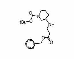 CC(C)(C)OC(=O)N1CCCC(NCCC(=O)OCc2ccccc2)C1